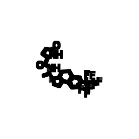 CC(NC(=O)C1CCC(=O)N1)[C@@H]1CCC2c3ccc(C(F)(C(F)(F)F)C(F)(F)F)cc3CCC21